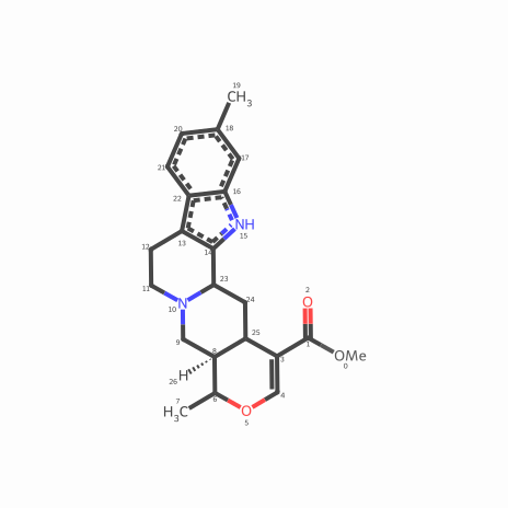 COC(=O)C1=COC(C)[C@H]2CN3CCc4c([nH]c5cc(C)ccc45)C3CC12